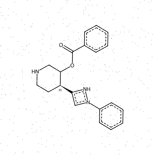 O=C(OC1CNCC[C@@H]1c1cn(-c2ccccc2)[nH]1)c1ccccc1